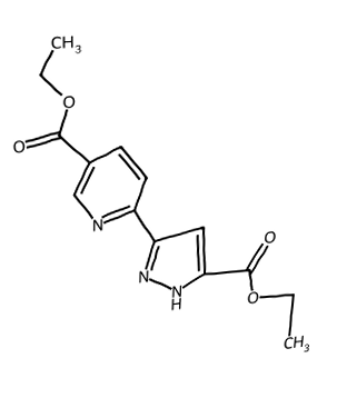 CCOC(=O)c1ccc(-c2cc(C(=O)OCC)[nH]n2)nc1